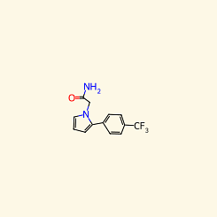 NC(=O)Cn1cccc1-c1ccc(C(F)(F)F)cc1